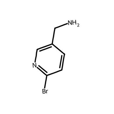 NCc1ccc(Br)nc1